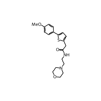 COc1ccc(-c2ccc(CC(=O)NCCN3CCOCC3)s2)cc1